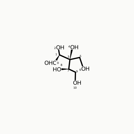 O=C[C@@H](O)[C@](O)(CO)[C@H](O)CO